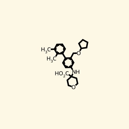 Cc1cccc(-c2ccc(NC3(C(=O)O)CCOCC3)cc2COC2CCCC2)c1C